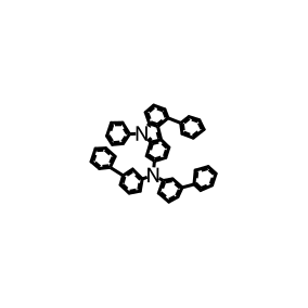 c1ccc(-c2cccc(N(c3cccc(-c4ccccc4)c3)c3ccc4c5c(-c6ccccc6)cccc5n(-c5ccccc5)c4c3)c2)cc1